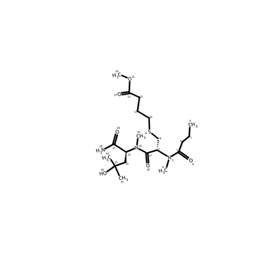 CCCC(=O)N(C)[C@@H](CSCCCC(=O)OC)C(=O)N(C)[C@@H](CC(C)(C)O)C(N)=O